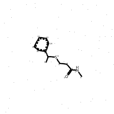 CNC(=O)CCSC(C)c1ccccc1